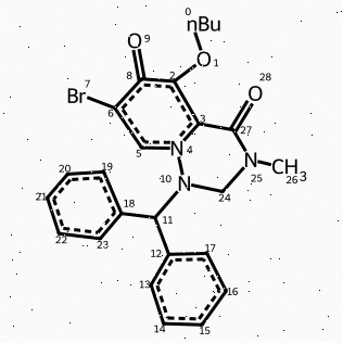 CCCCOc1c2n(cc(Br)c1=O)N(C(c1ccccc1)c1ccccc1)CN(C)C2=O